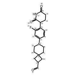 O=CC1CC2(CCN(c3ccc(C4CCC(=O)NC4=O)c(F)c3)CC2)C1